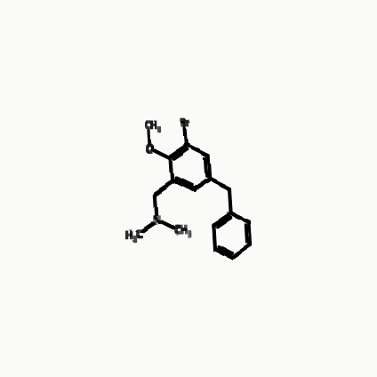 COc1c(Br)cc(Cc2ccccc2)cc1CN(C)C